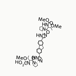 COC(=O)N[C@H](C(=O)N1CCC[C@H]1c1ncc(-c2ccc3c(c2)Cc2cc(-c4cnc([C@@H]5CCCN5C(=O)[C@H]([C@@H](C)OC)N(C)C(=O)O)[nH]4)ccc2-3)[nH]1)C(C)OC